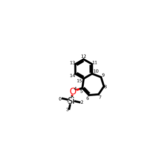 C[Si](C)(C)OC1=CCCCc2ccccc21